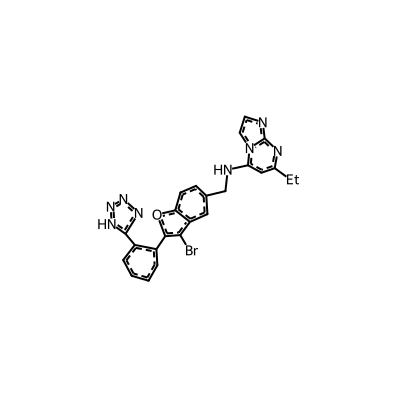 CCc1cc(NCc2ccc3oc(-c4ccccc4-c4nnn[nH]4)c(Br)c3c2)n2ccnc2n1